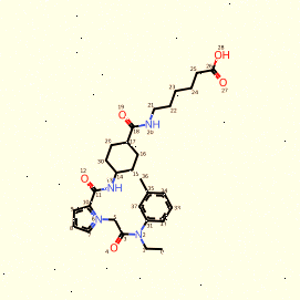 CCN(C(=O)Cn1cccc1C(=O)NC1CCC(C(=O)NCCCCCC(=O)O)CC1)c1cccc(C)c1